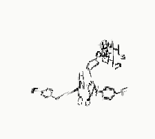 CC(C)(C)[Si](C)(C)Oc1ccc([C@@H]2[C@@H](NC(=O)/C=C/c3ccc(F)cc3)C(=O)N2c2ccc(F)cc2)cc1